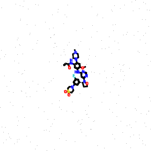 C=CC(=O)Nc1cc(Nc2cc(N3OCC[C@@H]3c3cc(F)cc(N4CCS(=O)(=O)CC4)c3)ncn2)c(OC)cc1N1CCN(C)CC1